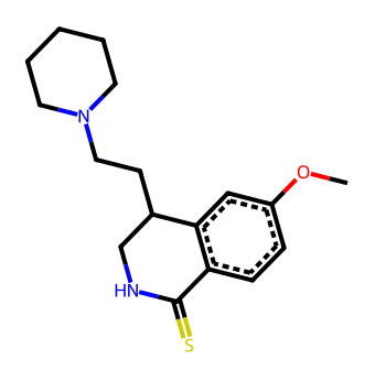 COc1ccc2c(c1)C(CCN1CCCCC1)CNC2=S